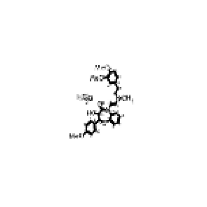 COc1ccc(C2Sc3ccccc3N(CCN(C)CCc3ccc(OC)c(OC)c3)C(=O)C2O)cc1.Cl.O